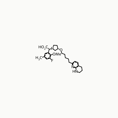 COc1c(F)cc(C)cc1[C@@H](C(=O)O)N1CC[C@@H](OCCCCCc2ccc3c(n2)NCCC3)C1